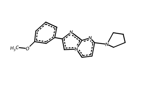 COc1cccc(-c2cn3ccc(N4CCCC4)nc3n2)c1